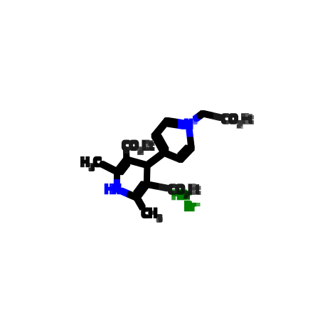 Br.CCOC(=O)C[n+]1ccc(C2C(C(=O)OCC)=C(C)NC(C)=C2C(=O)OCC)cc1.[Br-]